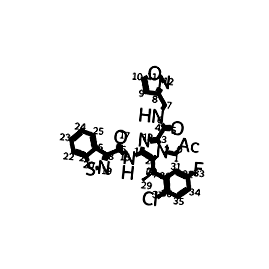 CC(=O)Cn1c(C(=O)NCc2ccon2)nc(NC(=O)c2nsc3ccccc23)c1[C@H](C)c1cc(F)ccc1Cl